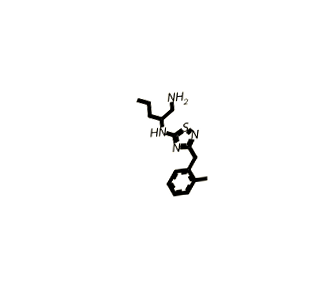 CCCC(CN)Nc1nc(Cc2ccccc2C)ns1